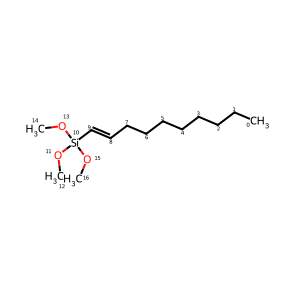 CCCCCCCC/C=C/[Si](OC)(OC)OC